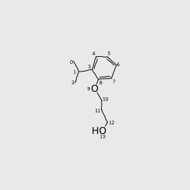 CC(C)c1ccccc1OCCCO